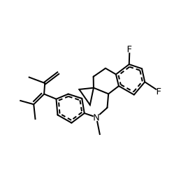 C=C(C)C(=C(C)C)c1ccc(N(C)CC2c3cc(F)cc(F)c3CCC23CC3)cc1